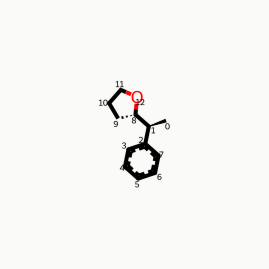 C[C@@H](c1ccccc1)[C@@H]1CCCO1